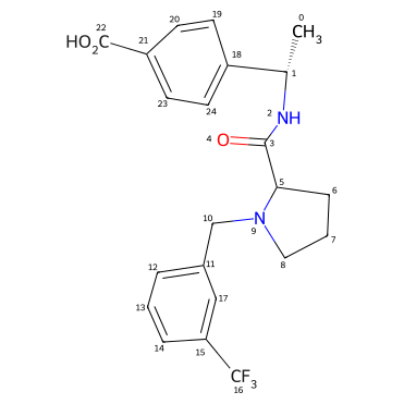 C[C@H](NC(=O)C1CCCN1Cc1cccc(C(F)(F)F)c1)c1ccc(C(=O)O)cc1